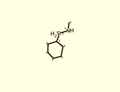 CN[SiH2]C1CCCCC1